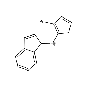 CC(C)C1=[C]([Hf][CH]2C=Cc3ccccc32)CC=C1